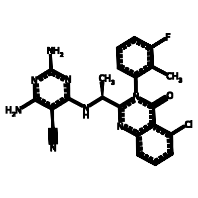 Cc1c(F)cccc1-n1c([C@H](C)Nc2nc(N)nc(N)c2C#N)nc2cccc(Cl)c2c1=O